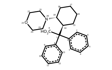 O=C(O)C(c1ccccc1)(c1ccccc1)[C@@H]1CCCC[C@H]1N1CCOCC1